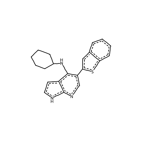 c1ccc2sc(-c3cnc4[nH]ccc4c3NC3CCCCC3)cc2c1